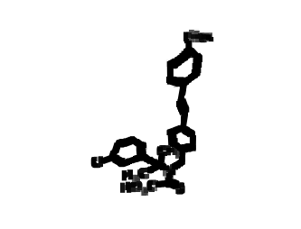 CCCCCCc1ccc(C#Cc2ccc(CN(C(=O)C(=O)O)C(C)(C)c3cccc(Cl)c3)cc2)cc1